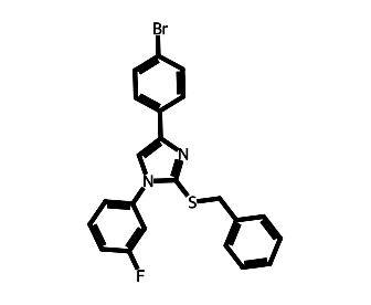 Fc1cccc(-n2cc(-c3ccc(Br)cc3)nc2SCc2ccccc2)c1